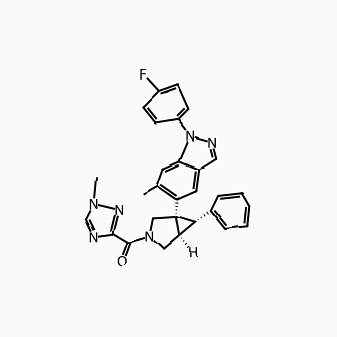 Cc1cc2c(cnn2-c2ccc(F)cc2)cc1[C@@]12CN(C(=O)c3ncn(C)n3)C[C@@H]1[C@H]2c1ccccc1